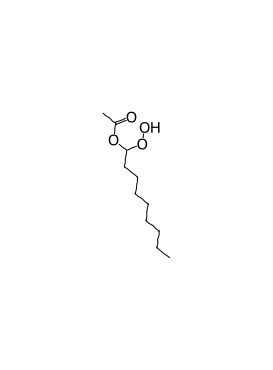 CCCCCCCCC(OO)OC(C)=O